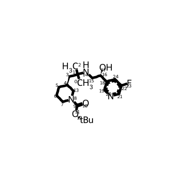 CC(C)(C[C@@H]1CCCN(C(=O)OC(C)(C)C)C1)NC[C@H](O)c1cncc(F)c1